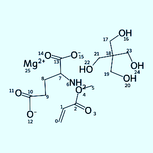 C=CC(=O)OC.NC(CCC(=O)[O-])C(=O)[O-].OCC(CO)(CO)CO.[Mg+2]